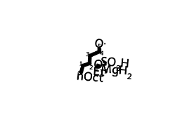 CCCCCCCCCCCC[O].CCOS(=O)(=O)O.[MgH2]